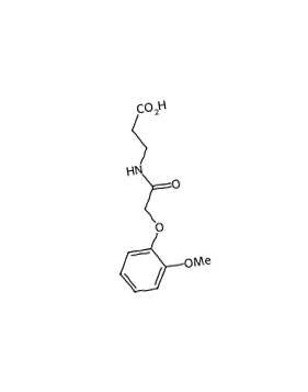 COc1ccccc1OCC(=O)NCCC(=O)O